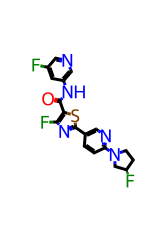 O=C(Nc1cncc(F)c1)c1sc(-c2ccc(N3CC[C@@H](F)C3)nc2)nc1F